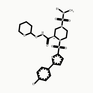 CCN(C)S(=O)(=O)N1CCN(S(=O)(=O)c2ccc(-c3ccc(Cl)cc3)s2)[C@@H](C(=O)NOC2CCCCO2)C1